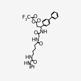 CC(C)NC(=O)NCCCCC(=O)NCC(=O)NC(CC(=O)OC(=O)C(F)(F)F)c1ccc(-c2ccccc2)cc1